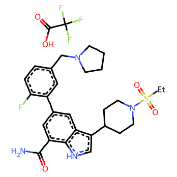 CCS(=O)(=O)N1CCC(c2c[nH]c3c(C(N)=O)cc(-c4cc(CN5CCCC5)ccc4F)cc23)CC1.O=C(O)C(F)(F)F